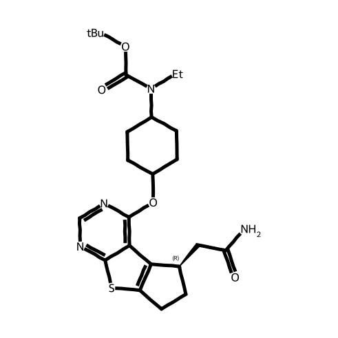 CCN(C(=O)OC(C)(C)C)C1CCC(Oc2ncnc3sc4c(c23)[C@@H](CC(N)=O)CC4)CC1